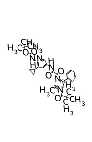 C[C@@H]1CN(C(=O)C(=O)Nc2cnc(NC(=O)OC(C)(C)C)c(C3CC3)c2)[C@@H](c2ccccc2)CN1C(=O)C(C)(C)C